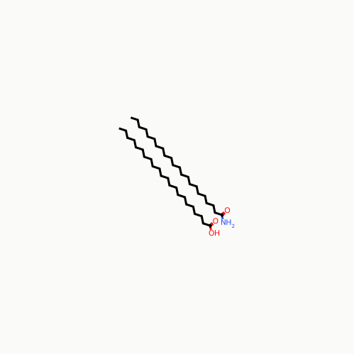 CCCCCCCCCCCCCCCCCCCCCC(=O)O.CCCCCCCCCCCCCCCCCCCCCC(N)=O